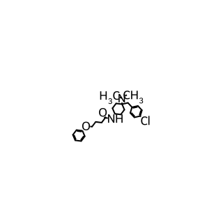 CN(C)C1(Cc2ccc(Cl)cc2)CCC(NC(=O)CCCOc2ccccc2)CC1